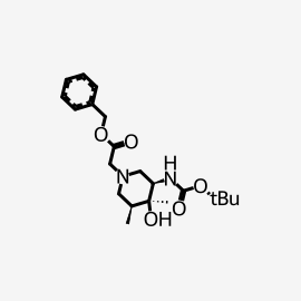 C[C@H]1CN(CC(=O)OCc2ccccc2)C[C@@H](NC(=O)OC(C)(C)C)[C@@]1(C)O